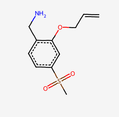 C=CCOc1cc(S(C)(=O)=O)ccc1CN